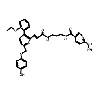 CCOc1ccccc1-c1ccc(CSc2ccc(O)cc2)nc1/C=C/C(=O)NCCCNC(=O)c1ccc(NN)nc1